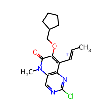 C/C=C/c1c(OCC2CCCC2)c(=O)n(C)c2cnc(Cl)nc12